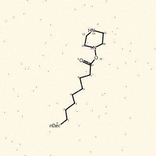 CCCCCCCCCCCCCCCCCC(=O)ON1CCNCC1